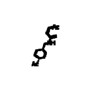 C=C(/C=C\C(C)=O)NC[C@H]1CC[C@H](C(C)=O)CC1